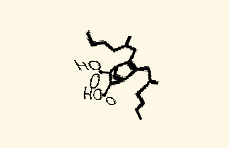 CCCCC(C)CC1=C(CC(C)CCCC)C2CC1C(C(=O)O)C2C(=O)O